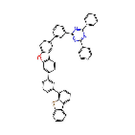 c1ccc(-c2nc(-c3ccccc3)nc(-c3cccc(-c4ccc5oc6cc(-c7cccc(-c8cccc9c8sc8ccccc89)c7)ccc6c5c4)c3)n2)cc1